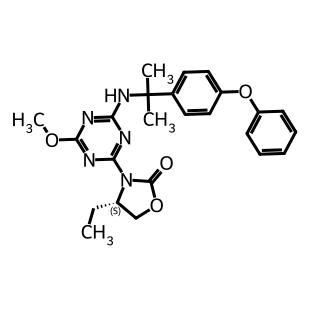 CC[C@H]1COC(=O)N1c1nc(NC(C)(C)c2ccc(Oc3ccccc3)cc2)nc(OC)n1